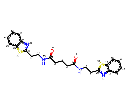 O=C(CCCC(=O)NCCc1nc2ccccc2s1)NCCc1nc2ccccc2s1